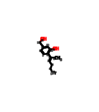 C/C(=C\CCC(C)C)c1ccc(CO)cc1O